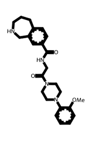 COc1ccccc1N1CCN(C(=O)CNC(=O)c2ccc3c(c2)CNCCC3)CC1